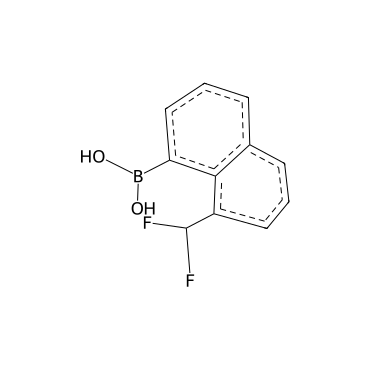 OB(O)c1cccc2cccc(C(F)F)c12